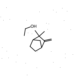 C=C1C2CCC(C2)C1(C)C.CCO